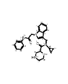 O=C(Cn1cc(CN(C(=O)C2CNCCO2)C2CC2)c2ccccc21)Nc1ccccc1